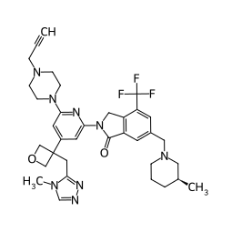 C#CCN1CCN(c2cc(C3(Cc4nncn4C)COC3)cc(N3Cc4c(cc(CN5CCC[C@H](C)C5)cc4C(F)(F)F)C3=O)n2)CC1